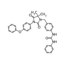 CC1(C)C(=O)N(c2ccc(Oc3ccccc3)cc2)C(=O)N1Cc1ccc(NC(=O)Nc2ccccc2)cc1